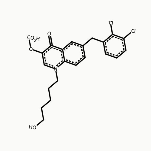 O=C(O)Oc1cn(CCCCCO)c2ccc(Cc3cccc(Cl)c3Cl)cc2c1=O